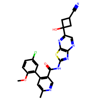 COc1ccc(Cl)cc1-c1cc(C)ncc1C(=O)Nc1nc2ncc(C3(O)CC(C#N)C3)nc2s1